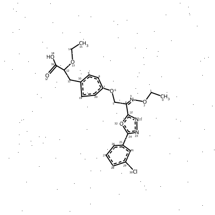 CCON=C(COc1ccc(CC(OCC)C(=O)O)cc1)c1nnc(-c2cccc(Cl)c2)o1